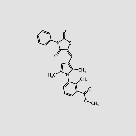 COC(=O)c1cccc(-n2c(C)cc(C=C3SC(=O)N(c4ccccc4)C3=O)c2C)c1C